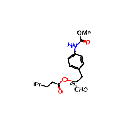 COC(=O)Nc1ccc(C[C@H](C=O)OC(=O)CCC(C)C)cc1